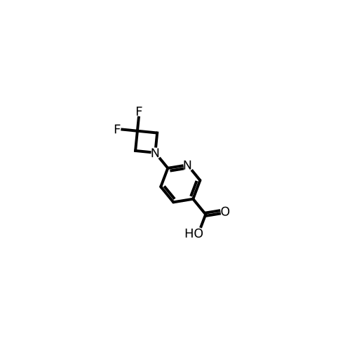 O=C(O)c1ccc(N2CC(F)(F)C2)nc1